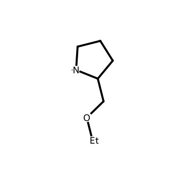 CCOCC1CCC[N]1